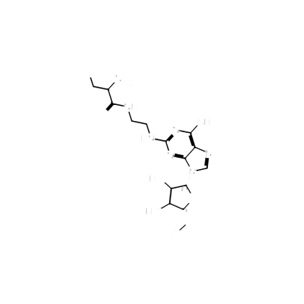 NC(CO)C(=O)NCCNc1nc(S)c2ncn([C@@H]3O[C@H](CO)C(O)C3O)c2n1